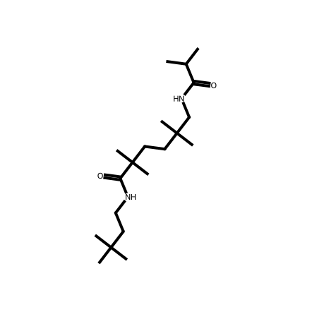 CC(C)C(=O)NCC(C)(C)CCC(C)(C)C(=O)NCCC(C)(C)C